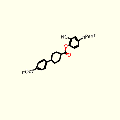 CCCCCCCCc1ccc(C2CCC(C(=O)Oc3ccc(CCCCC)cc3C#N)CC2)cc1